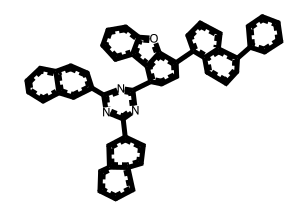 c1ccc(-c2cccc3c(-c4ccc(-c5nc(-c6ccc7ccccc7c6)nc(-c6ccc7ccccc7c6)n5)c5c4oc4ccccc45)cccc23)cc1